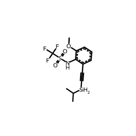 COc1cccc(C#C[SiH2]C(C)C)c1NS(=O)(=O)C(F)(F)F